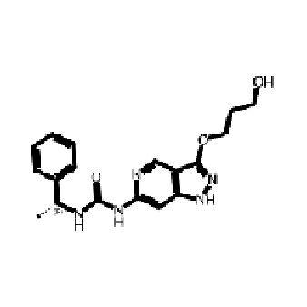 C[C@@H](NC(=O)Nc1cc2[nH]nc(OCCCO)c2cn1)c1ccccc1